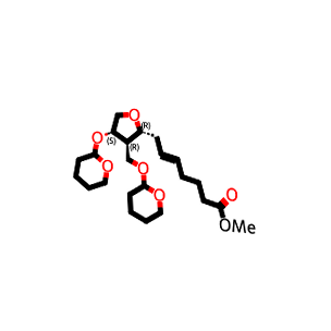 COC(=O)CCCC=CC[C@H]1OC[C@@H](OC2CCCCO2)[C@@H]1COC1CCCCO1